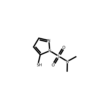 CN(C)S(=O)(=O)n1nccc1S